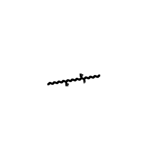 CCCCCCCCC(Br)CCCCCCC(Br)C(F)CCCCCCC